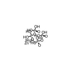 O=P(O)(O)OP(=O)(O)O.O=P(O)(O)OP(=O)(O)O.[MgH2].[Zn]